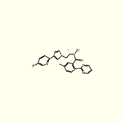 CCN(C(=O)c1cc(C)ccc1-c1ncccn1)[C@@H](C)Cn1cc(-c2ccc(F)cn2)cn1